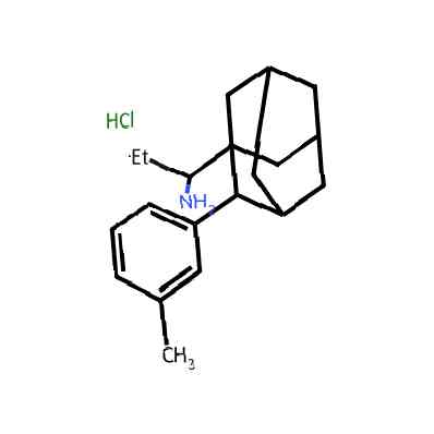 C[CH]C(N)C12CC3CC(CC(C3)C1c1cccc(C)c1)C2.Cl